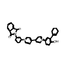 O=C1c2ccccc2C(=O)N1c1cccc(-[n+]2ccc(-c3cc[n+](-c4ccc(O)c(-c5ccccc5)c4)cc3)cc2)c1